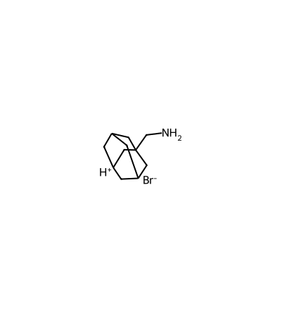 NCC12CC3CC(CC(C3)C1)C2.[Br-].[H+]